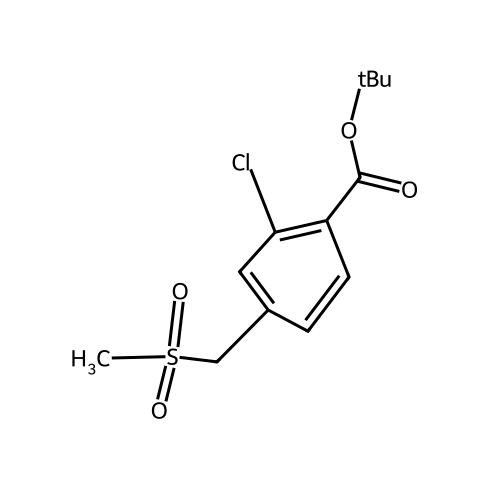 CC(C)(C)OC(=O)c1ccc(CS(C)(=O)=O)cc1Cl